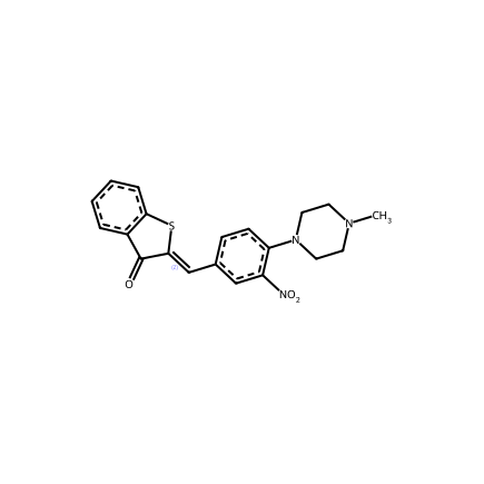 CN1CCN(c2ccc(/C=C3\Sc4ccccc4C3=O)cc2[N+](=O)[O-])CC1